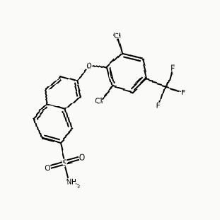 NS(=O)(=O)c1ccc2ccc(Oc3c(Cl)cc(C(F)(F)F)cc3Cl)cc2c1